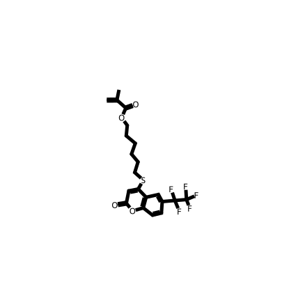 C=C(C)C(=O)OCCCCCCSc1cc(=O)oc2ccc(C(F)(F)C(F)(F)F)cc12